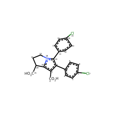 O=C(O)c1c(-c2ccc(Cl)cc2)c(-c2ccc(Cl)cc2)n2c1C(C(=O)O)CC2